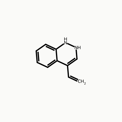 C=CC1=CNNc2ccccc21